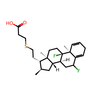 C[C@@H]1C[C@H]2[C@@H]3CC(F)C4=CCC=C[C@]4(C)[C@@]3(F)CC[C@]2(C)[C@H]1CCSCCC(=O)O